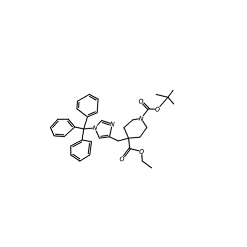 CCOC(=O)C1(Cc2cn(C(c3ccccc3)(c3ccccc3)c3ccccc3)cn2)CCN(C(=O)OC(C)(C)C)CC1